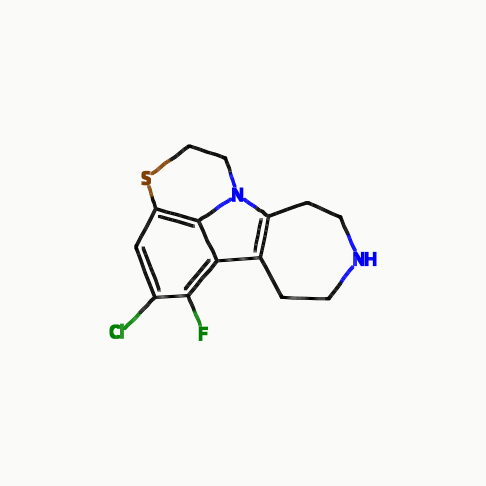 Fc1c(Cl)cc2c3c1c1c(n3CCS2)CCNCC1